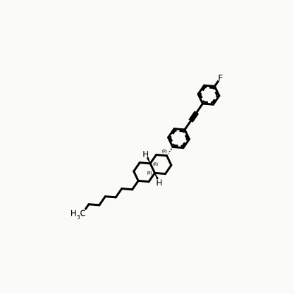 CCCCCCCC1CC[C@@H]2C[C@H](c3ccc(C#Cc4ccc(F)cc4)cc3)CC[C@@H]2C1